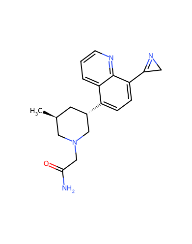 C[C@H]1C[C@H](c2ccc(C3=NC3)c3ncccc23)CN(CC(N)=O)C1